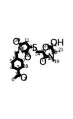 CC(=O)C1CCC(CN2C(=O)CC(SCCC(=O)N(C)[C@@H](C)C(=O)O)C2=O)CC1